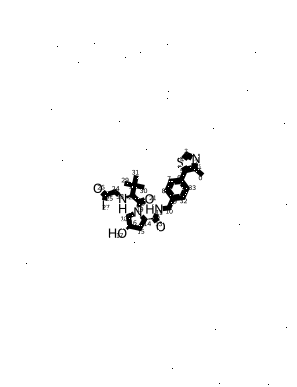 Cc1ncsc1-c1ccc(CNC(=O)[C@@H]2C[C@@H](O)CN2C(=O)[C@@H](NCC(=O)I)C(C)(C)C)cc1